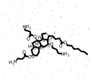 CCCCCCCOC(=O)CC[C@@H](C)[C@H]1CC[C@H]2[C@@H]3[C@H](OC(=O)CCN)C[C@@H]4C[C@H](OC(=O)CCN)CC[C@]4(C)[C@H]3C[C@H](OCCCN)[C@]12C